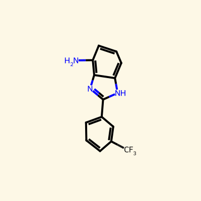 Nc1cccc2[nH]c(-c3cccc(C(F)(F)F)c3)nc12